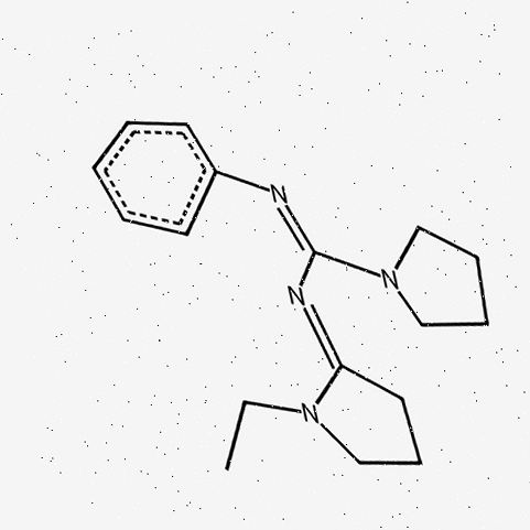 CCN1CCCC1=NC(=Nc1ccccc1)N1CCCC1